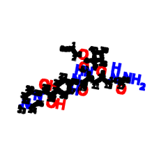 C=CCOC(=O)C1(C(=O)N[C@@H](CCCNC(N)=O)C(=O)Nc2ccc(C(O)C(O)N3CCN(C)CC3)cc2)CCC1